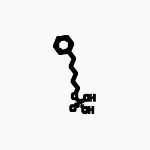 O=P(O)(O)OCCCCCc1ccccc1